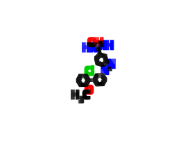 COc1cccc(Cl)c1-c1cccc(-n2cnc3cc(C(=N)NO)ccc32)c1